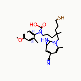 C=C(/C=C(C)\C(=C/C)N(CCCC(C)(CCCS)CN1C(C)=CC(C#N)=CC2NC21)C(=O)O)OC